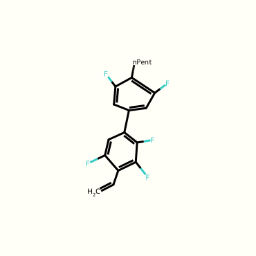 C=Cc1c(F)cc(-c2cc(F)c(CCCCC)c(F)c2)c(F)c1F